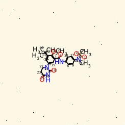 COc1c(C(=O)Nc2ccc(N(C)S(C)(=O)=O)cc2)cc(N2CCC(=O)NC2=O)cc1C(C)(C)C